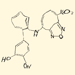 O=[N+]([O-])c1ccc(Nc2ccccc2-c2ccc(O)c(O)c2)c2nonc12